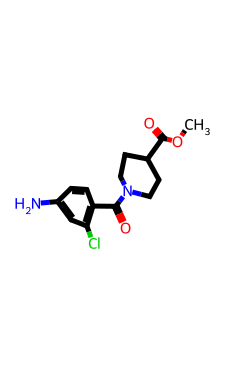 COC(=O)C1CCN(C(=O)c2ccc(N)cc2Cl)CC1